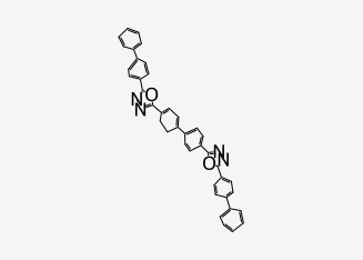 C1=C(c2ccc(-c3nnc(-c4ccc(-c5ccccc5)cc4)o3)cc2)CCC(c2nnc(-c3ccc(-c4ccccc4)cc3)o2)=C1